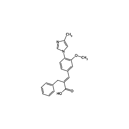 COc1cc(/C=C(\Cc2ccccc2)C(=O)O)ccc1-n1cnc(C)c1